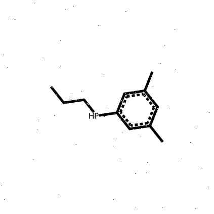 CCCPc1cc(C)cc(C)c1